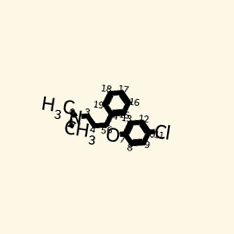 CN(C)CCC(Oc1ccc(Cl)cc1)c1ccccc1